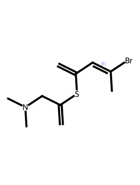 C=C(/C=C(\C)Br)SC(=C)CN(C)C